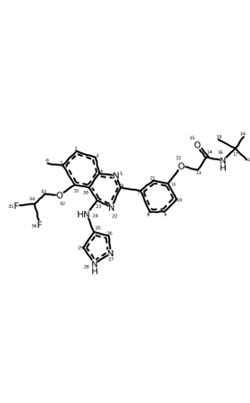 Cc1ccc2nc(-c3cccc(OCC(=O)NC(C)(C)C)c3)nc(Nc3cn[nH]c3)c2c1OCC(F)F